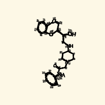 O=C(CN1CCC(NCC(O)C2COc3ccccc3O2)CC1)Nc1ccccc1